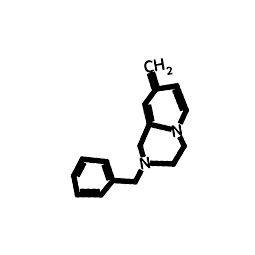 C=C1C=CN2CCN(Cc3ccccc3)CC2=C1